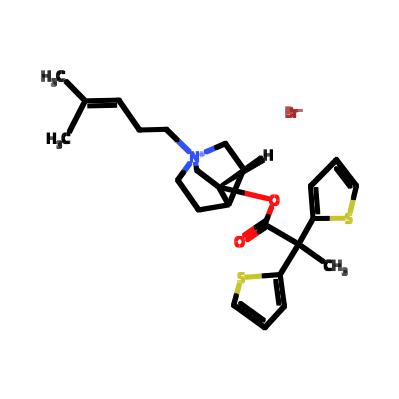 CC(C)=CCC[N+]12CCC(CC1)[C@@H](OC(=O)C(C)(c1cccs1)c1cccs1)C2.[Br-]